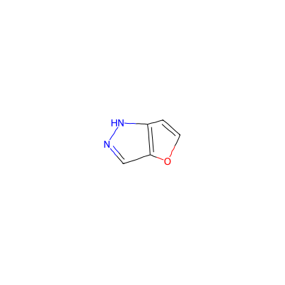 c1cc2[nH]ncc2o1